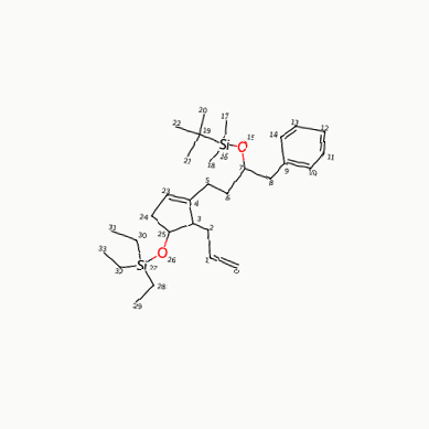 C=CCC1C(CCC(Cc2ccccc2)O[Si](C)(C)C(C)(C)C)=CCC1O[Si](CC)(CC)CC